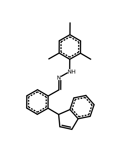 Cc1cc(C)c(N/N=C/c2ccccc2C2C=Cc3ccccc32)c(C)c1